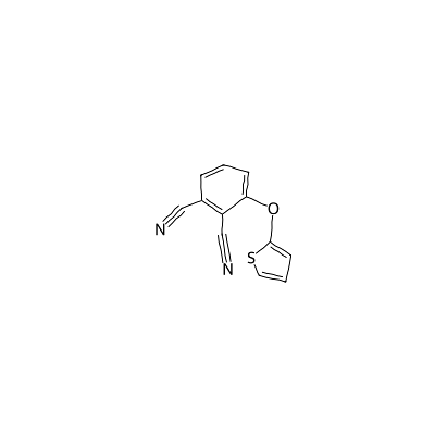 N#Cc1cccc(Oc2cccs2)c1C#N